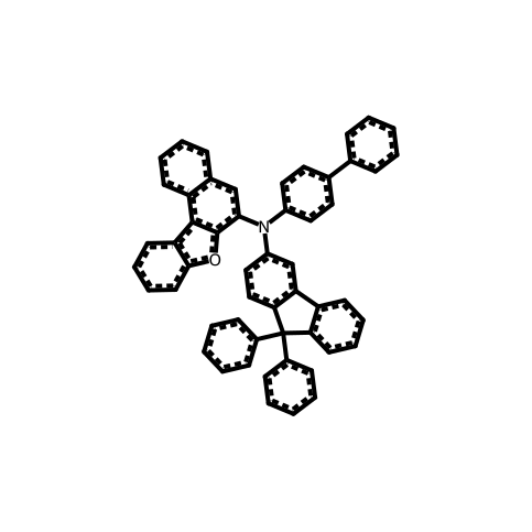 c1ccc(-c2ccc(N(c3ccc4c(c3)-c3ccccc3C4(c3ccccc3)c3ccccc3)c3cc4ccccc4c4c3oc3ccccc34)cc2)cc1